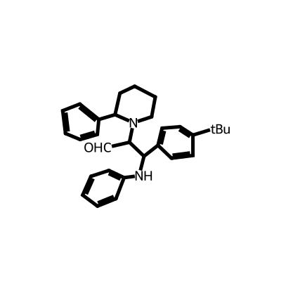 CC(C)(C)c1ccc(C(Nc2ccccc2)C(C=O)N2CCCCC2c2ccccc2)cc1